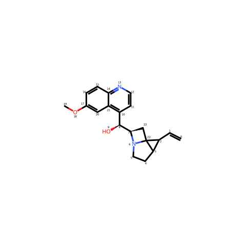 C=CC1C2CCN3[C@@H]([C@@H](O)c4ccnc5ccc(OC)cc45)CC123